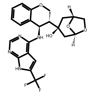 O[C@@]1([C@H]2COc3ccccc3[C@@H]2Nc2ncnc3[nH]c(C(F)(F)F)cc23)C[C@@H]2CO[C@@H](C1)O2